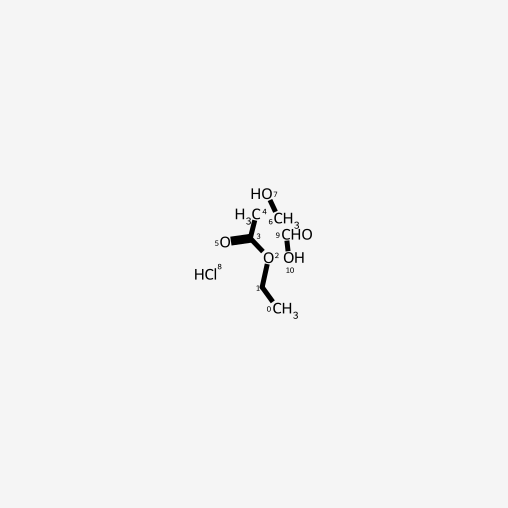 CCOC(C)=O.CO.Cl.O=CO